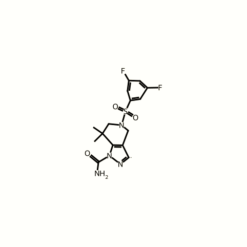 CC1(C)CN(S(=O)(=O)c2cc(F)cc(F)c2)Cc2[c]nn(C(N)=O)c21